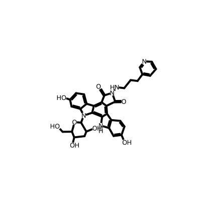 O=C1c2c(c3c4ccc(O)cc4n(C4OC(CO)C(O)CC4O)c3c3[nH]c4cc(O)ccc4c23)C(=O)N1NCCCc1cccnc1